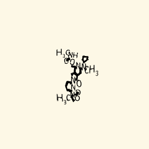 CNC(=O)OCc1nc(N(C)C2CCCC2)cc2c1CN(c1cccc(N3C(=O)OC[C@@H]3C)n1)C2=O